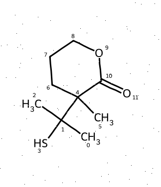 CC(C)(S)C1(C)CCCOC1=O